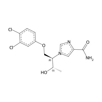 C[C@H](O)[C@@H](COc1ccc(Cl)c(Cl)c1)n1cnc(C(N)=O)c1